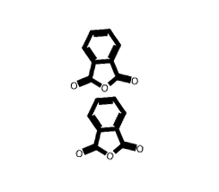 O=C1OC(=O)c2ccccc21.O=C1OC(=O)c2ccccc21